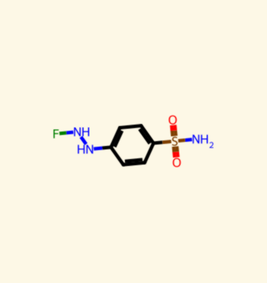 NS(=O)(=O)c1ccc(NNF)cc1